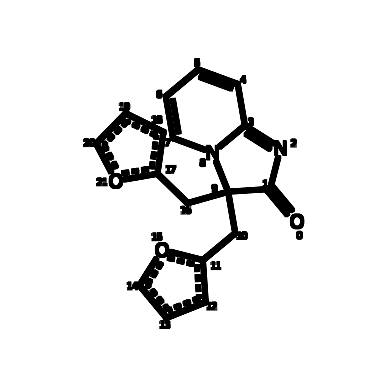 O=C1N=C2C=CC=CN2C1(Cc1ccco1)Cc1ccco1